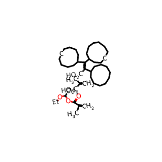 C=C(C)C(=O)O.C=C(C)C(=O)OC(C)OCC.O=C(O)C(=C(C1CCCCCCCCC1)C1CCCCCCCCC1)C1CCCCCCCCC1